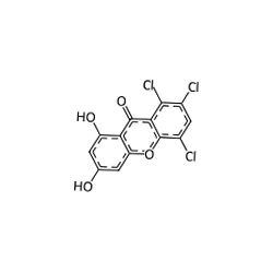 O=c1c2c(O)cc(O)cc2oc2c(Cl)cc(Cl)c(Cl)c12